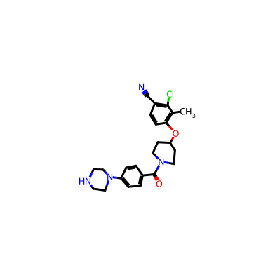 Cc1c(OC2CCN(C(=O)c3ccc(N4CCNCC4)cc3)CC2)ccc(C#N)c1Cl